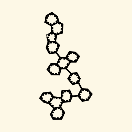 c1ccc(-c2ccc3c4ccccc4c4ccccc4c3c2)c(-c2ccc(-c3c4ccccc4c(-c4ccc5sc6c7ccccc7ccc6c5c4)c4ccccc34)cc2)c1